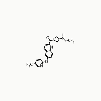 O=C(c1ccc2cc(Oc3ccc(C(F)(F)F)cn3)ccc2n1)N1CC(NCC(F)(F)F)C1